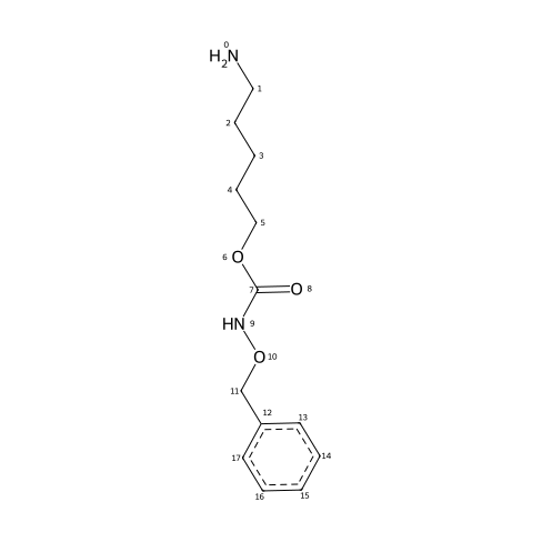 NCCCCCOC(=O)NOCc1ccccc1